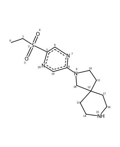 CCS(=O)(=O)c1cnc(N2CCC3(CCNCC3)C2)cn1